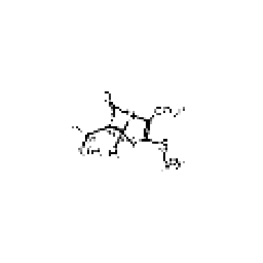 CCCSC1=C(C(=O)O)N2C(=O)[C@H]([C@@H](C)O)[C@H]2S1